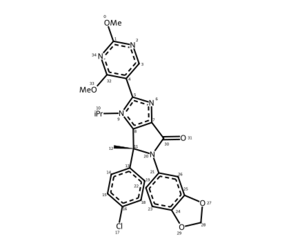 COc1ncc(-c2nc3c(n2C(C)C)[C@@](C)(c2ccc(Cl)cc2)N(c2ccc4c(c2)OCO4)C3=O)c(OC)n1